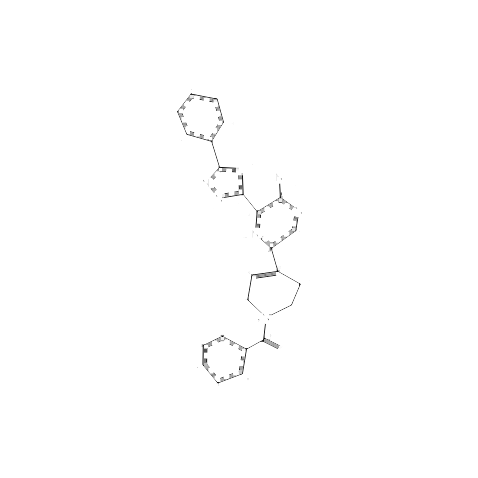 Nc1ncc(C2=CCN(C(=O)c3ccccc3)CC2)nc1-c1nnc(-c2ccccc2)o1